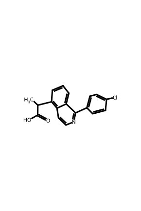 CC(C(=O)O)c1cccc2c(-c3ccc(Cl)cc3)nccc12